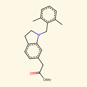 COC(=O)Cc1ccc2c(c1)N(Cc1c(C)cccc1C)CC2